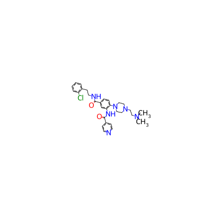 CN(C)CCN1CCN(c2ccc(C(=O)NCCc3ccccc3Cl)cc2NC(=O)c2ccncc2)CC1